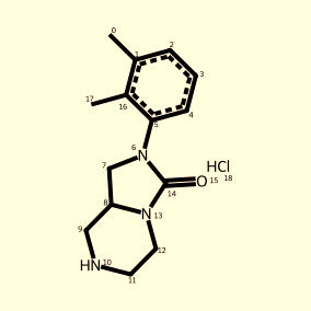 Cc1cccc(N2CC3CNCCN3C2=O)c1C.Cl